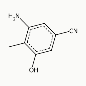 Cc1c(N)cc(C#N)cc1O